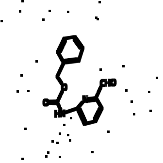 O=Cc1cccc(NC(=O)OCc2ccccc2)n1